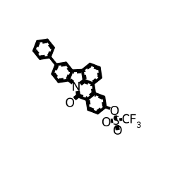 O=c1c2ccc(OS(=O)(=O)C(F)(F)F)cc2c2cccc3c4cc(-c5ccccc5)ccc4n1c23